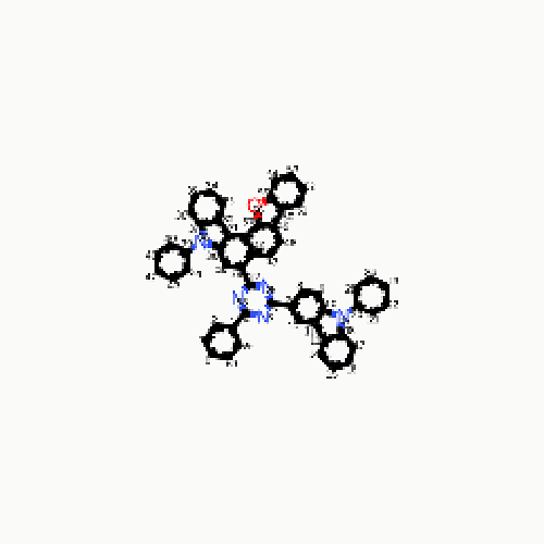 c1ccc(-c2nc(-c3ccc4c(c3)c3ccccc3n4-c3ccccc3)nc(-c3cc4c(c5ccccc5n4-c4ccccc4)c4c3ccc3c5ccccc5oc34)n2)cc1